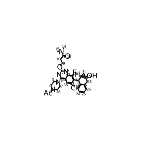 CC(=O)N1CCN(c2nc(OCCC(=O)N(C)C)nc3c(F)c(C4c5ccccc5CC5(O)C[C@H]45)c(Cl)cc23)CC1